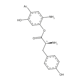 CC(=O)c1cc(N)c(OC(=O)[C@@H](N)Cc2ccc(O)cc2)cc1O